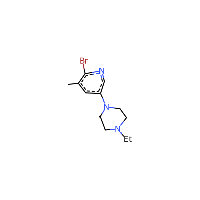 CCN1CCN(c2cnc(Br)c(C)c2)CC1